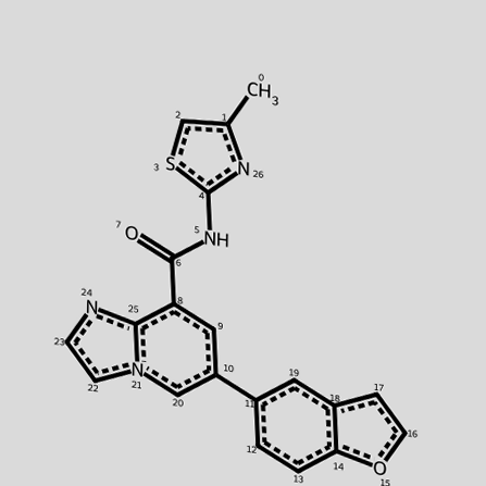 Cc1csc(NC(=O)c2cc(-c3ccc4occc4c3)cn3ccnc23)n1